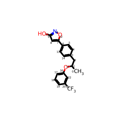 CC(Cc1ccc(-c2cc(O)no2)cc1)Oc1cccc(C(F)(F)F)c1